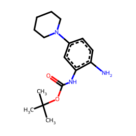 CC(C)(C)OC(=O)Nc1cc(N2CCCCC2)ccc1N